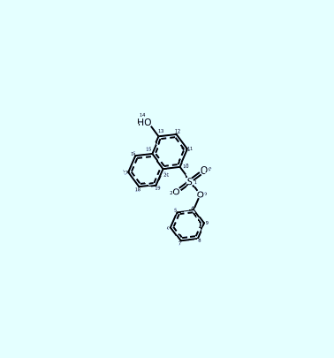 O=S(=O)(Oc1ccccc1)c1ccc(O)c2ccccc12